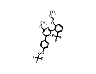 COCOc1cccc(C(F)(F)F)c1-c1nc(OC)nc(-c2ccc(OSC(F)(F)F)cc2)n1